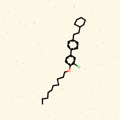 CCCCCCCCCCOc1ccc(-c2ccc(CCC3CC[CH]CC3)cc2)cc1Cl